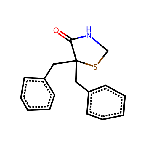 O=C1NCSC1(Cc1ccccc1)Cc1ccccc1